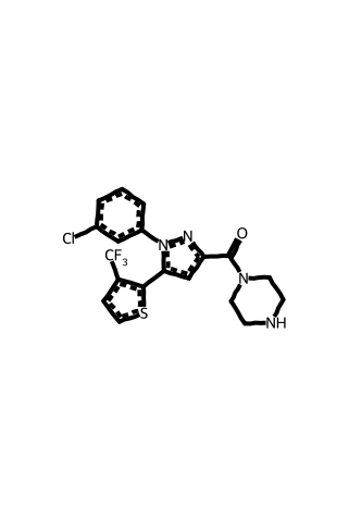 O=C(c1cc(-c2sccc2C(F)(F)F)n(-c2cccc(Cl)c2)n1)N1CCNCC1